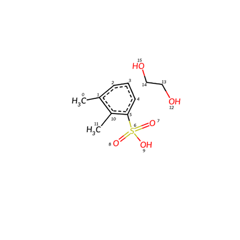 Cc1cccc(S(=O)(=O)O)c1C.OCCO